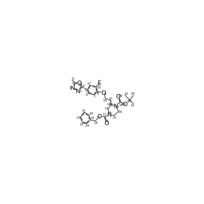 Cc1nnc(-c2ccc(OCC[C@@H]3CN(C(=O)OCc4ccccc4)CCN3C(=O)OC(C)(C)C)c(F)c2)o1